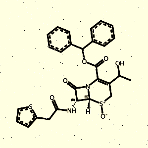 CC(O)C1=C(C(=O)OC(c2ccccc2)c2ccccc2)N2C(=O)[C@@H](NC(=O)Cc3cccs3)[C@H]2[S+]([O-])C1